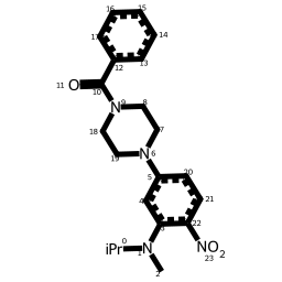 CC(C)N(C)c1cc(N2CCN(C(=O)c3ccccc3)CC2)ccc1[N+](=O)[O-]